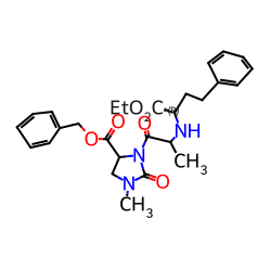 CCOC(=O)[C@@H](CCc1ccccc1)NC(C)C(=O)N1C(=O)N(C)CC1C(=O)OCc1ccccc1